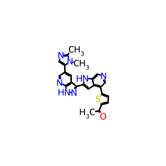 CC(=O)c1ccc(-c2cncc3[nH]c(-c4n[nH]c5ncc(-c6cnc(C)n6C)cc45)cc23)s1